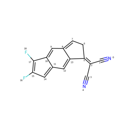 N#CC(C#N)=C1CC=c2cc3c(cc21)=CC(F)=C3F